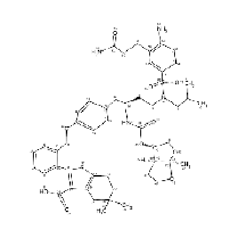 CC(C)CN(CC[C@H](Cc1ccc(OCc2ccccc2-c2sc3c(c2C(=O)O)CC(C)(C)CC3)cc1)NC(=O)O[C@H]1CO[C@@]2(C)OCC[C@@H]12)S(=O)(=O)c1ccc(N)c(CCC(N)=O)c1